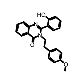 COc1ccc(CCn2c(-c3ccccc3O)nc3ccccc3c2=O)cc1